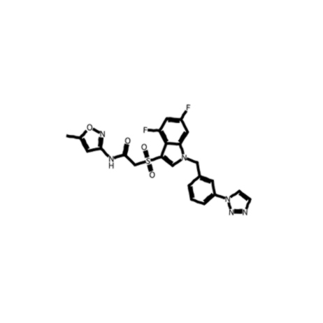 Cc1cc(NC(=O)CS(=O)(=O)c2cn(Cc3cccc(-n4ccnn4)c3)c3cc(F)cc(F)c23)no1